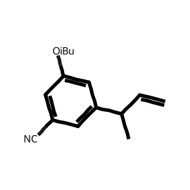 C=C[C](C)c1cc(C#N)cc(OCC(C)C)c1